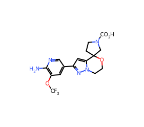 Nc1ncc(-c2cc3n(n2)CCOC32CCN(C(=O)O)C2)cc1OC(F)(F)F